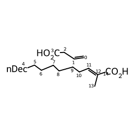 C=CCC(=O)O.CCCCCCCCCCCCCCCCC=C(C)C(=O)O